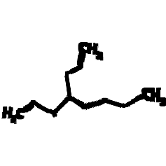 C=C[CH]C(CC=C)CCCC